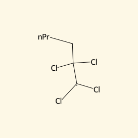 CCCCC(Cl)(Cl)[C](Cl)Cl